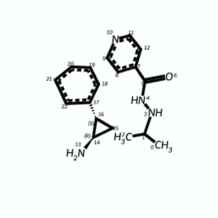 CC(C)NNC(=O)c1ccncc1.N[C@@H]1C[C@H]1c1ccccc1